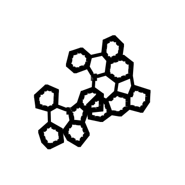 c1ccc(-c2ccccc2N(c2ccc3c4ccccc4n(-c4ccccc4-c4ccccc4)c3c2)c2cccc3c2-c2c4ccccc4cc4cccc-3c24)cc1